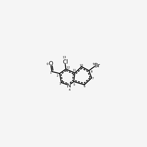 O=Cc1cnc2ccc(Br)cc2c1Cl